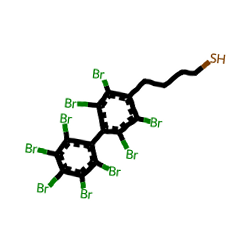 SCCCCc1c(Br)c(Br)c(-c2c(Br)c(Br)c(Br)c(Br)c2Br)c(Br)c1Br